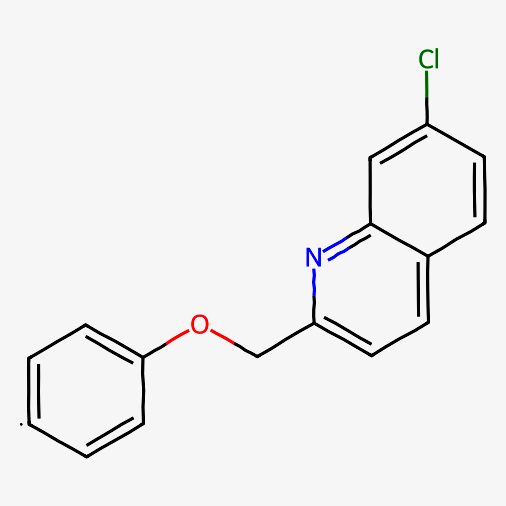 Clc1ccc2ccc(COc3cc[c]cc3)nc2c1